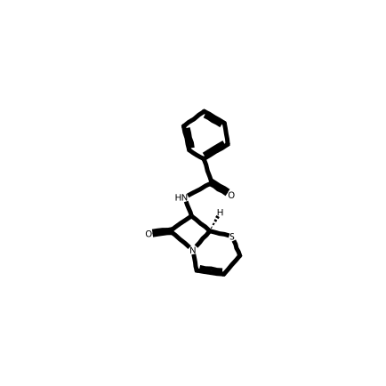 O=C(NC1C(=O)N2C=CCS[C@H]12)c1ccccc1